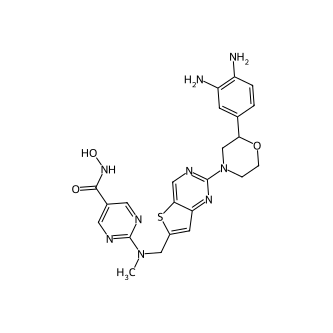 CN(Cc1cc2nc(N3CCOC(c4ccc(N)c(N)c4)C3)ncc2s1)c1ncc(C(=O)NO)cn1